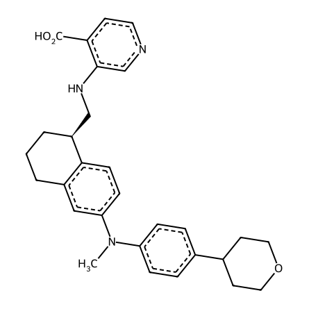 CN(c1ccc(C2CCOCC2)cc1)c1ccc2c(c1)CCC[C@H]2CNc1cnccc1C(=O)O